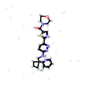 O=C(c1cnc(-c2ccc(NCC3(c4ncccc4F)CCC3)nn2)s1)N1CCOCC1